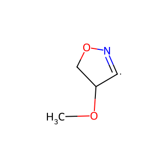 COC1[C]=NOC1